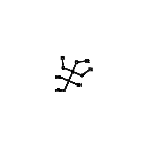 CCCCCC(S)(S)[Si](OCC)(OCC)OCC